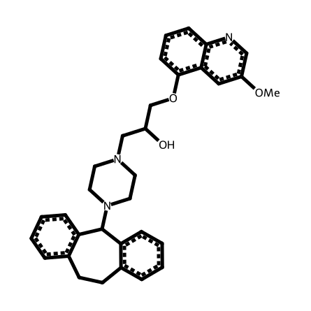 COc1cnc2cccc(OCC(O)CN3CCN(C4c5ccccc5CCc5ccccc54)CC3)c2c1